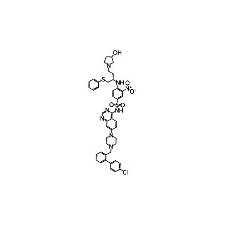 O=[N+]([O-])c1cc(S(=O)(=O)Nc2ncnc3cc(N4CCN(Cc5ccccc5-c5ccc(Cl)cc5)CC4)ccc23)ccc1N[C@H](CCN1CC[C@@H](O)C1)CSc1ccccc1